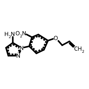 C=CCOc1ccc(-n2nccc2N)c([N+](=O)[O-])c1